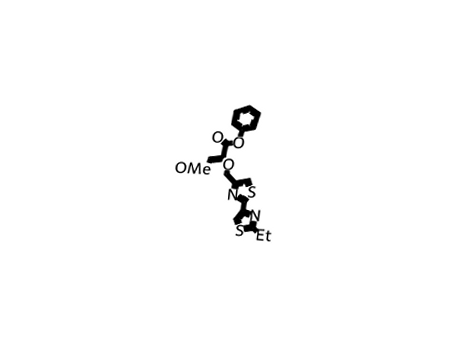 CCc1nc(-c2nc(COC(=COC)C(=O)Oc3ccccc3)cs2)cs1